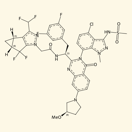 CO[C@@H]1CCN(c2ccc3c(=O)n(-c4ccc(Cl)c5c(NS(C)(=O)=O)nn(C)c45)c([C@H](Cc4cc(F)cc(F)c4)NC(=O)Cn4nc(C(F)F)c5c4C(F)(F)[C@@H]4C[C@H]54)nc3c2)C1